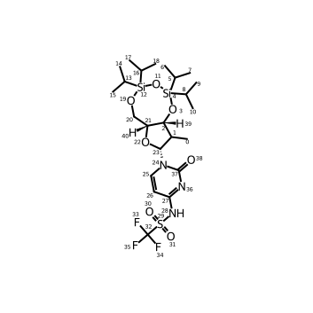 CC1[C@H]2O[Si](C(C)C)(C(C)C)O[Si](C(C)C)(C(C)C)OC[C@H]2O[C@H]1n1ccc(NS(=O)(=O)C(F)(F)F)nc1=O